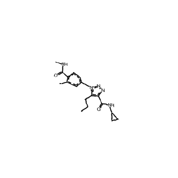 CCCc1c(C(=O)NC2CC2)nnn1-c1ccc(C(=O)NC)c(C)c1